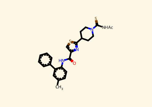 CC(=O)NC(=S)N1CCC(c2nc(C(=O)Nc3ccc(C)cc3-c3ccccc3)cs2)CC1